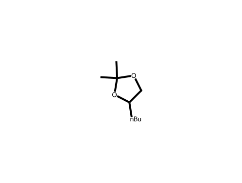 CCCCC1COC(C)(C)O1